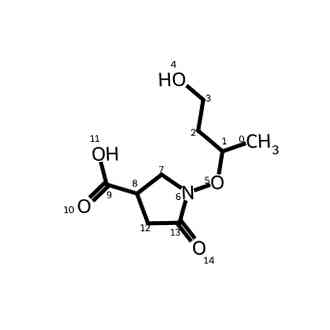 CC(CCO)ON1CC(C(=O)O)CC1=O